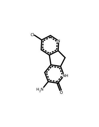 Nc1cc2c([nH]c1=O)Cc1ncc(Cl)cc1-2